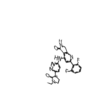 CCN1CC[C@H](c2ccc(Nc3cc(-c4c(F)cccc4F)nc4c3C(=O)NC4)nn2)C1=O